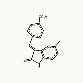 O=C1Nc2ccc(I)cc2C1=Cc1ccc(C(=O)O)cc1